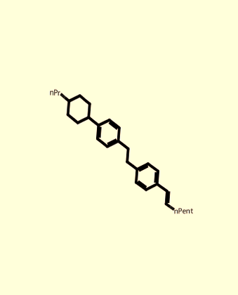 CCCCCC=Cc1ccc(CCc2ccc(C3CCC(CCC)CC3)cc2)cc1